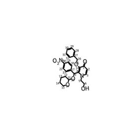 O=c1ccn(CCO)c(C(OC2CCCCO2)c2ccc([N+](=O)[O-])cc2)c1OCc1ccccc1